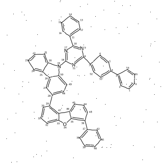 c1ccc(-c2ccc(-c3nc(-c4ccccc4)nc(-n4c5ccccc5c5cc(-c6cccc7oc8c(-c9ccccc9)cccc8c67)ccc54)n3)cc2)cc1